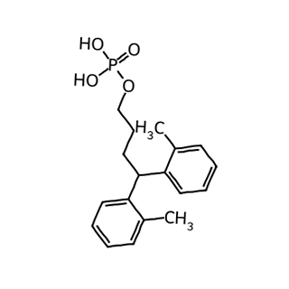 Cc1ccccc1C(CCCOP(=O)(O)O)c1ccccc1C